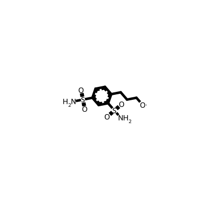 NS(=O)(=O)c1ccc(CCC[O])c(S(N)(=O)=O)c1